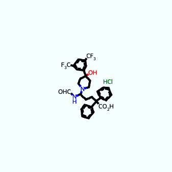 Cl.O=CNC(CCC(C(=O)O)(c1ccccc1)c1ccccc1)N1CCC(O)(c2cc(C(F)(F)F)cc(C(F)(F)F)c2)CC1